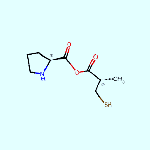 C[C@H](CS)C(=O)OC(=O)[C@@H]1CCCN1